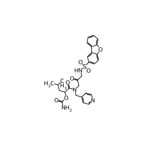 CC(C)CC(OC(N)=O)C(=O)N(CC(=O)CNS(=O)(=O)c1ccc2oc3ccccc3c2c1)Cc1ccncc1